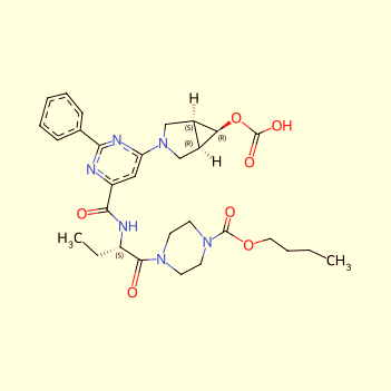 CCCCOC(=O)N1CCN(C(=O)[C@H](CC)NC(=O)c2cc(N3C[C@@H]4[C@H](C3)[C@@H]4OC(=O)O)nc(-c3ccccc3)n2)CC1